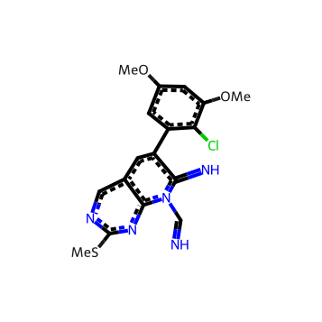 COc1cc(OC)c(Cl)c(-c2cc3cnc(SC)nc3n(C=N)c2=N)c1